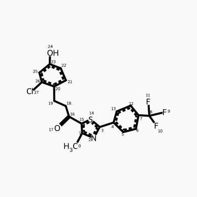 Cc1nc(-c2ccc(C(F)(F)F)cc2)sc1C(=O)CCc1ccc(O)cc1Cl